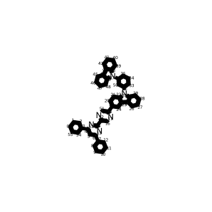 c1ccc(-c2cc(-c3ccccc3)nc(-c3cnc(-c4ccc5c(c4)c4ccccc4n5-c4cccc(-n5c6ccccc6c6ccccc65)c4)cn3)n2)cc1